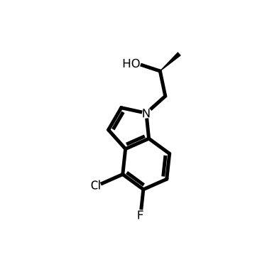 C[C@H](O)Cn1ccc2c(Cl)c(F)ccc21